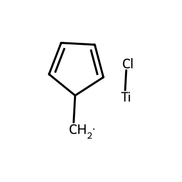 [CH2]C1C=CC=C1.[Cl][Ti]